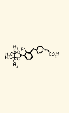 CCc1c(CC2CCN(CC(=O)O)CC2)cccc1B1OC(C)(C)C(C)(C)O1